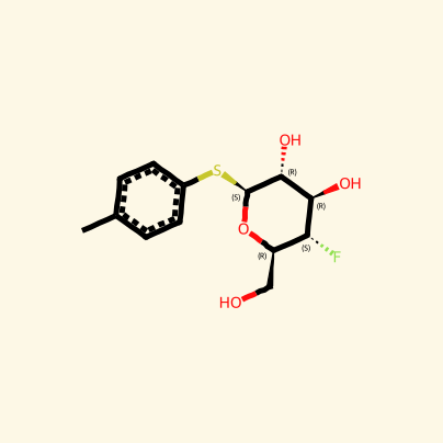 Cc1ccc(S[C@@H]2O[C@H](CO)[C@@H](F)[C@H](O)[C@H]2O)cc1